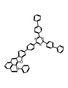 C1=CN(c2ccccc2)c2c3oc4cc(-c5ccc(-c6nc(-c7ccc(-c8ccccc8)cc7)nc(-c7ccc(-c8ccccc8)cc7)n6)cc5)ccc4c3cc3cccc1c23